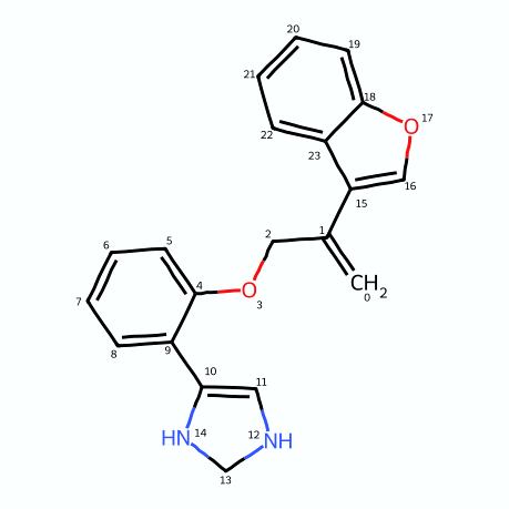 C=C(COc1ccccc1C1=CNCN1)c1coc2ccccc12